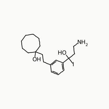 NCCC(O)(I)c1cccc(CCC2(O)CCCCCCC2)c1